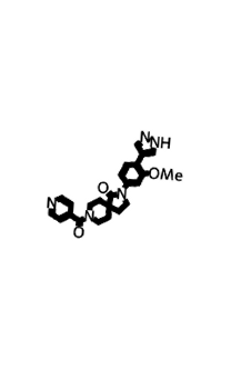 COc1cc(N2CCC3(CCN(C(=O)c4ccncc4)CC3)C2=O)ccc1-c1cn[nH]c1